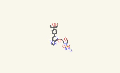 CCC(O)(CC)c1ccc(-c2cc3nccnc3c(OC[C@@H]3CN(S(N)(=O)=O)CCO3)n2)cc1